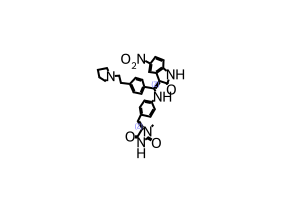 CN1C(=O)NC(=O)/C1=C/c1ccc(N/C(=C2\C(=O)Nc3ccc([N+](=O)[O-])cc32)c2ccc(CCN3CCCC3)cc2)cc1